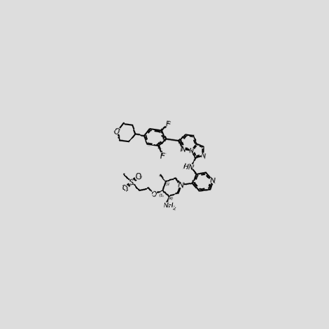 C[C@H]1CN(c2ccncc2Nc2ncc3ccc(-c4c(F)cc(C5CCOCC5)cc4F)nn23)C[C@@H](N)[C@H]1OCCS(C)(=O)=O